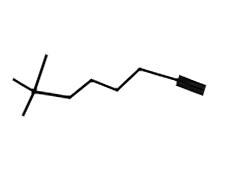 [C]#CCCCCC(C)(C)C